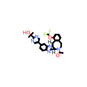 CC(=O)N1CCc2cccc(OC(F)F)c2[C@H]2C[C@@H]1c1nc3ccc(-c4cnc(C(C)(C)O)nc4)cc3n12